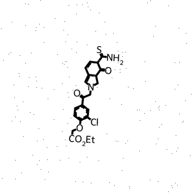 CCOC(=O)COc1ccc(C(=O)CN2C=C3C=CC(C(N)=S)C(=O)C3C2)cc1Cl